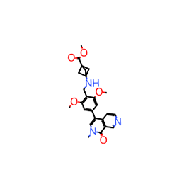 COC(=O)C12CC(NCc3c(OC)cc(-c4cn(C)c(=O)c5cnccc45)cc3OC)(C1)C2